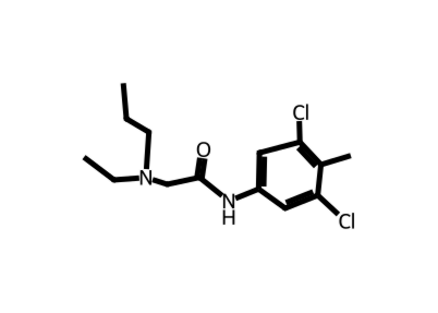 CCCN(CC)CC(=O)Nc1cc(Cl)c(C)c(Cl)c1